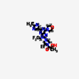 CC[C@H]1CN(c2nc3c(N4CCOCC4)nc(-c4cnc(C)nc4)nc3n2CC(F)(F)F)CCN1C(=O)[C@H](C)O